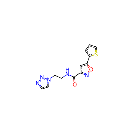 O=C(NCCn1ccnn1)c1cc(-c2cccs2)on1